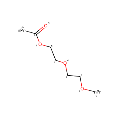 CCCOCCOCCOC(=O)CCC